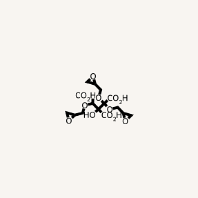 O=C(O)C(OCC1CO1)C(O)(C(=O)O)C(OCC1CO1)(OCC1CO1)C(=O)O